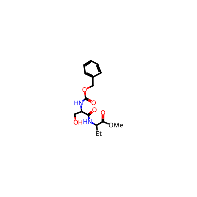 CCC(NC(=O)C(CO)NC(=O)OCc1ccccc1)C(=O)OC